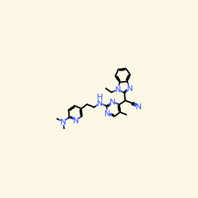 CCn1c(C(C#N)c2nc(NCCc3ccc(N(C)C)nc3)ncc2C)nc2ccccc21